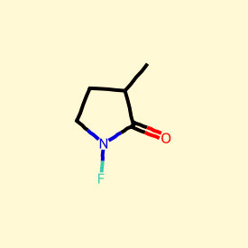 CC1CCN(F)C1=O